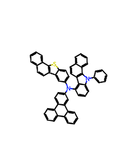 c1ccc(-n2c3cccc(N(c4ccc5sc6c7ccccc7ccc6c5c4)c4ccc5c6ccccc6c6ccccc6c5c4)c3c3ccc4ccccc4c32)cc1